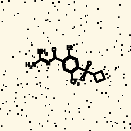 CCc1cc(S(=O)(=O)C2CCC2)c(C(F)(F)F)cc1C(=O)N=C(N)N